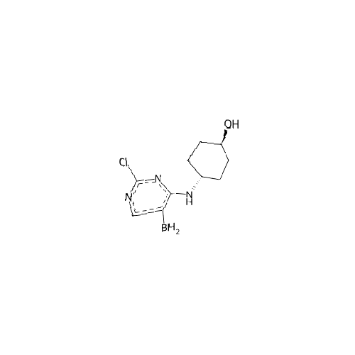 Bc1cnc(Cl)nc1N[C@H]1CC[C@H](O)CC1